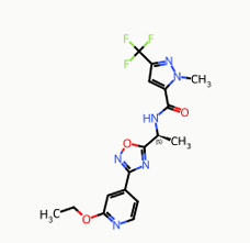 CCOc1cc(-c2noc([C@H](C)NC(=O)c3cc(C(F)(F)F)nn3C)n2)ccn1